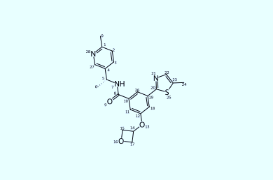 Cc1ccc([C@@H](C)NC(=O)c2cc(OC3COC3)cc(-c3ncc(C)s3)c2)cn1